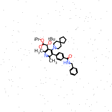 Cc1nc(C)c([C@H](OC(C)(C)C)C(=O)OC(C)C)c(N2CCC3(CCCC3)CC2)c1-c1ccc(C(=O)NCc2ccccc2)cc1